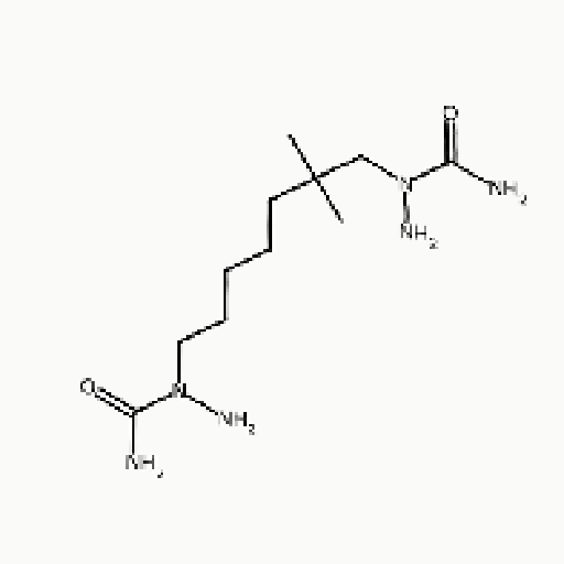 CC(C)(CCCCCN(N)C(N)=O)CN(N)C(N)=O